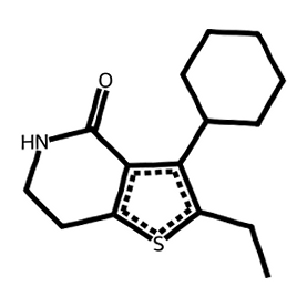 CCc1sc2c(c1C1CCCCC1)C(=O)NCC2